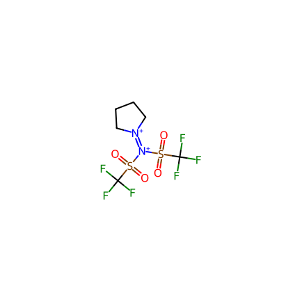 O=S(=O)([N+](=[N+]1CCCC1)S(=O)(=O)C(F)(F)F)C(F)(F)F